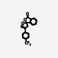 O=C1OC2(CC(c3ccc(C(F)(F)F)cc3)=NO2)c2ccccc21